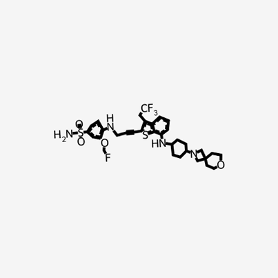 NS(=O)(=O)c1ccc(NCC#Cc2sc3c(NC4CCC(N5CC6(CCOCC6)C5)CC4)cccc3c2CC(F)(F)F)c(OCF)c1